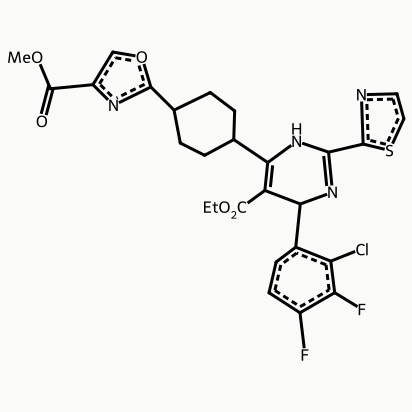 CCOC(=O)C1=C(C2CCC(c3nc(C(=O)OC)co3)CC2)NC(c2nccs2)=NC1c1ccc(F)c(F)c1Cl